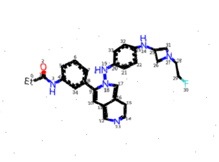 CCC(=O)Nc1cccc(C2=CC3=CN=CCC3=CN2Nc2ccc(NC3CN(CCF)C3)cc2)c1